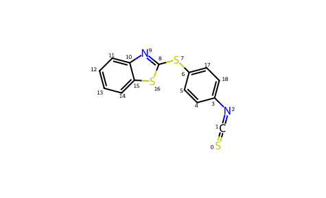 S=C=Nc1ccc(Sc2nc3ccccc3s2)cc1